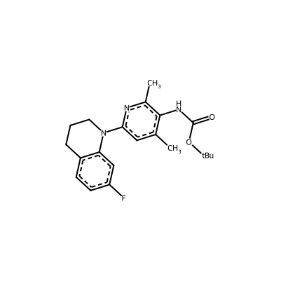 Cc1cc(N2CCCc3ccc(F)cc32)nc(C)c1NC(=O)OC(C)(C)C